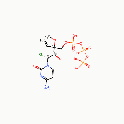 C=C[C@](COP(=O)(O)OP(=O)(O)OP(=O)(O)O)(OC)[C@@H](O)[C@@H](Cl)n1ccc(N)nc1=O